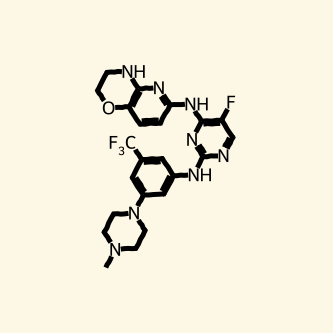 CN1CCN(c2cc(Nc3ncc(F)c(Nc4ccc5c(n4)NCCO5)n3)cc(C(F)(F)F)c2)CC1